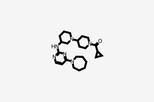 O=C(C1CC1)N1CCC(N2CCCC(Nc3nccc(N4CCCCCC4)n3)C2)CC1